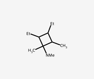 CCC1C(C)C(C)(NC)C1CC